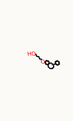 OCCCCCOc1ccc2c(c1)CCCC/C(c1ccccc1)=C\2